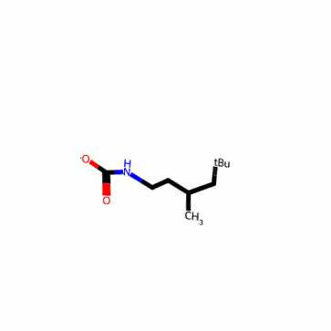 CC(CCNC([O])=O)CC(C)(C)C